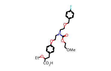 CCOC(Cc1ccc(OCCN(CCOCc2ccc(F)cc2)C(=O)OCCOC)cc1)C(=O)O